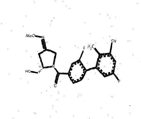 CO/N=C1\C[C@@H](CO)N(C(=O)c2ccc(-c3cc(F)cc(C#N)c3C)c(F)c2)C1